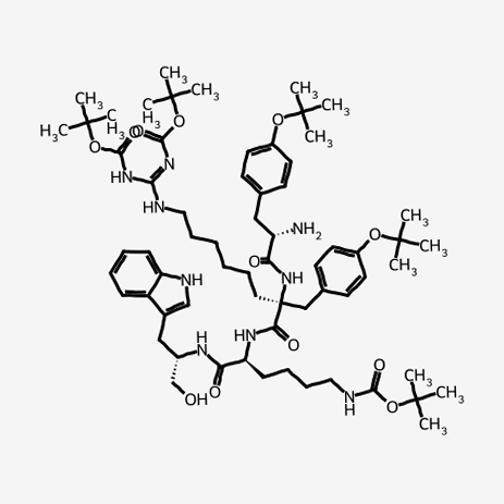 CC(C)(C)OC(=O)N=C(NCCCCCC[C@@](Cc1ccc(OC(C)(C)C)cc1)(NC(=O)[C@@H](N)Cc1ccc(OC(C)(C)C)cc1)C(=O)N[C@@H](CCCCNC(=O)OC(C)(C)C)C(=O)N[C@H](CO)Cc1c[nH]c2ccccc12)NC(=O)OC(C)(C)C